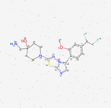 COc1cc(C(F)CF)ccc1-c1cnc2sc(N3CCC(O)(CN)CC3)nn12